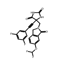 O=C1NC(=O)C(C#Cc2cc(F)cc(F)c2)(CN2Cc3ccc(OC(F)F)cc3C2=O)N1